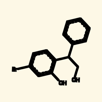 OCC(c1ccccc1)c1ccc(Br)cc1O